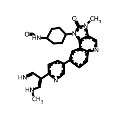 CN/C=C(\C=N)c1ccc(-c2ccc3ncc4c(c3c2)n(C2CCC(NC=O)CC2)c(=O)n4C)cn1